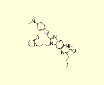 CCCCc1nc2cc3c(cc2[nH]c1=O)nc(/C=C/c1ccc(N(C)C)cc1)n3CCCN1CCCC1=O